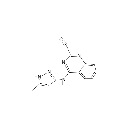 C#Cc1nc(Nc2cc(C)[nH]n2)c2ccccc2n1